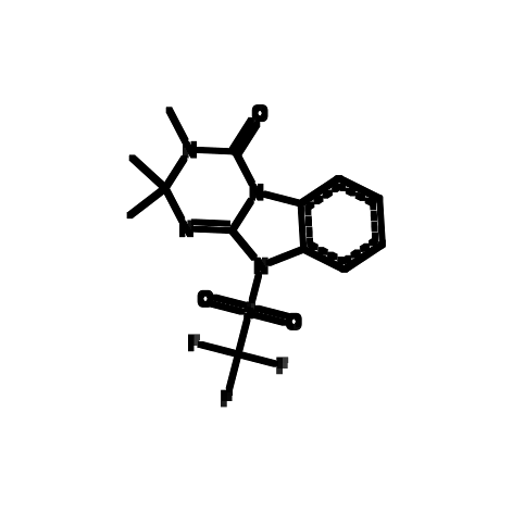 CN1C(=O)N2C(=NC1(C)C)N(S(=O)(=O)C(F)(F)F)c1ccccc12